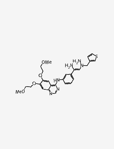 COCCOc1cc2ncnc(Nc3cccc(/C(N)=C/N(N)Cc4ccsc4)c3)c2cc1OCCOC